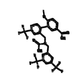 COc1ccc(C(=O)O)cc1-c1ccc(C(F)(F)F)cc1CN(Cc1cc(C(F)(F)F)cc(C(F)(F)F)c1)C(=O)O